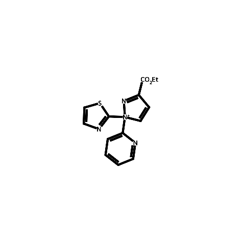 CCOC(=O)C1=N[N+](c2ccccn2)(c2nccs2)C=C1